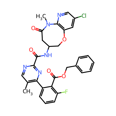 Cc1cnc(C(=O)NC2COc3cc(Cl)cnc3N(C)C(=O)C2)nc1-c1cccc(F)c1C(=O)OCc1ccccc1